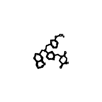 COc1cccc(CN(Cc2ccc3cccnc3c2)c2ccnc(CN3CC(=O)NCC3=O)c2)c1